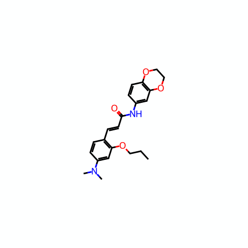 CCCOc1cc(N(C)C)ccc1/C=C/C(=O)Nc1ccc2c(c1)OCCO2